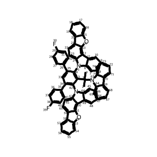 CC(C)(c1c(-n2c3ccccc3c3c4oc5ccccc5c4ccc32)c(-c2ccc(F)cc2)cc(-c2ccc(F)cc2)c1-n1c2ccccc2c2c3oc4ccccc4c3ccc21)n1c2ccccc2c2ccccc21